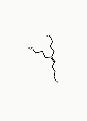 CCCC[C]=C(CCCC)CCCC